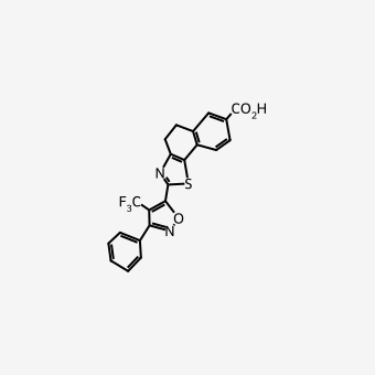 O=C(O)c1ccc2c(c1)CCc1nc(-c3onc(-c4ccccc4)c3C(F)(F)F)sc1-2